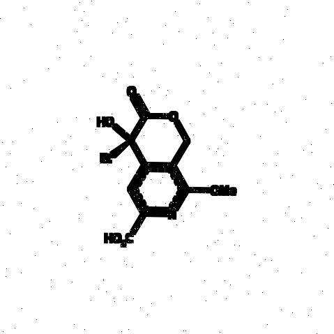 CC[C@@]1(O)C(=O)OCc2c1cc(C(=O)O)nc2OC